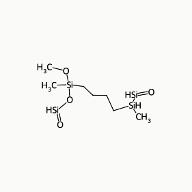 CO[Si](C)(CCCC[SiH](C)[SiH]=O)O[SiH]=O